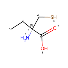 CC[C@@](N)(CS)C(=O)O